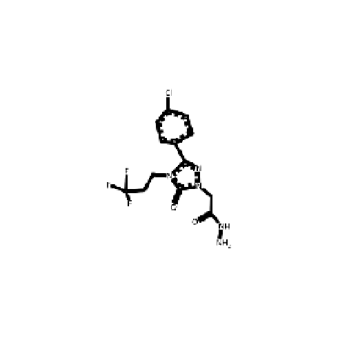 NNC(=O)Cn1nc(-c2ccc(Cl)cc2)n(CCC(F)(F)F)c1=O